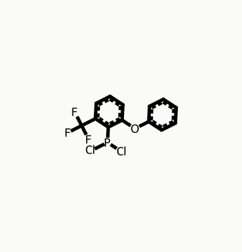 FC(F)(F)c1cccc(Oc2ccccc2)c1P(Cl)Cl